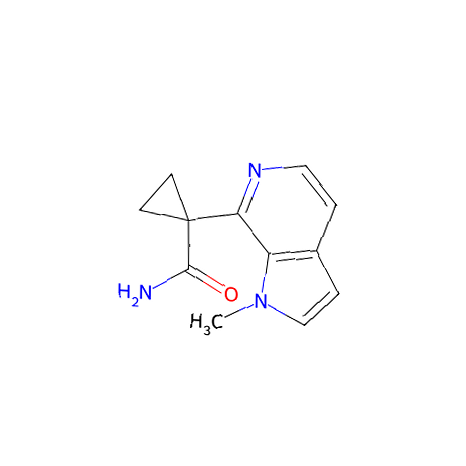 Cn1ccc2ccnc(C3(C(N)=O)CC3)c21